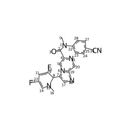 CN(C(=O)c1cn2c(C3C(F)=CC(F)=CN3C)cnc2cn1)c1ccc(C#N)cc1